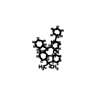 CC1(C)c2ccccc2-c2c1ccc1c3ccccc3n(-c3nc(-c4ccccc4)ncc3C#N)c21